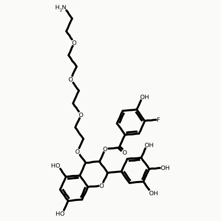 NCCOCCOCCOCCOC1c2c(O)cc(O)cc2OC(c2cc(O)c(O)c(O)c2)C1OC(=O)c1ccc(O)c(F)c1